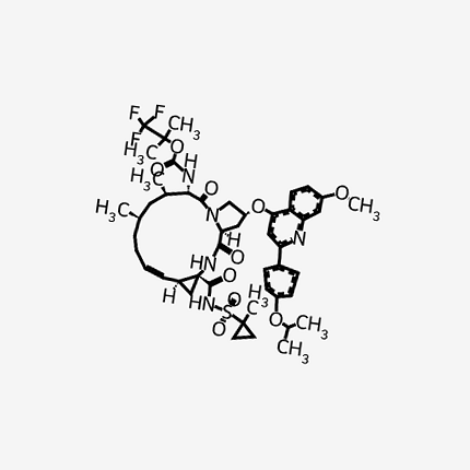 COc1ccc2c(O[C@@H]3C[C@H]4C(=O)N[C@]5(C(=O)NS(=O)(=O)C6(C)CC6)C[C@H]5/C=C\CC[C@@H](C)C[C@@H](C)[C@H](NC(=O)OC(C)(C)C(F)(F)F)C(=O)N4C3)cc(-c3ccc(OC(C)C)cc3)nc2c1